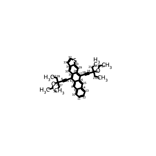 CCOC(C#Cc1c2cc3ccccc3cc2c(C#CC(CC)(CC)OCC)c2cc3sccc3cc12)(CC)CC